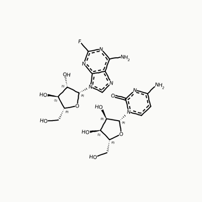 Nc1ccn([C@@H]2O[C@H](CO)[C@@H](O)[C@H]2O)c(=O)n1.Nc1nc(F)nc2c1ncn2[C@@H]1O[C@H](CO)[C@@H](O)[C@@H]1O